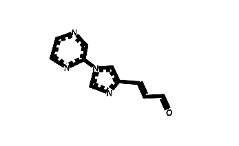 O=C/C=C/c1cn(-c2cnccn2)cn1